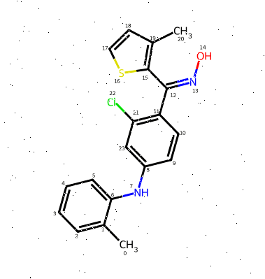 Cc1ccccc1Nc1ccc(/C(=N/O)c2sccc2C)c(Cl)c1